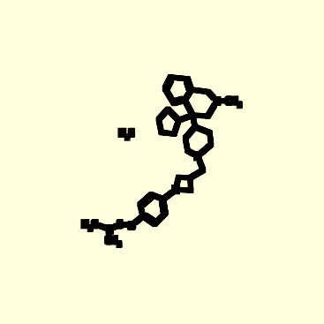 CN1Cc2ccccc2C(C2CCCC2)(C2CCN(CC3CN(c4ccc(OSN(C)C)cc4)C3)CC2)C1.S